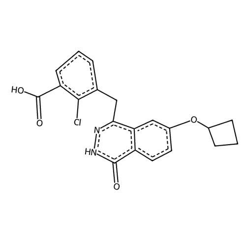 O=C(O)c1cccc(Cc2n[nH]c(=O)c3ccc(OC4CCC4)cc23)c1Cl